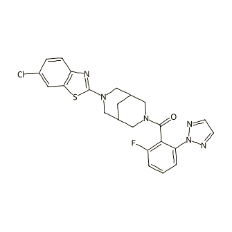 O=C(c1c(F)cccc1-n1nccn1)N1CC2CC(C1)CN(c1nc3ccc(Cl)cc3s1)C2